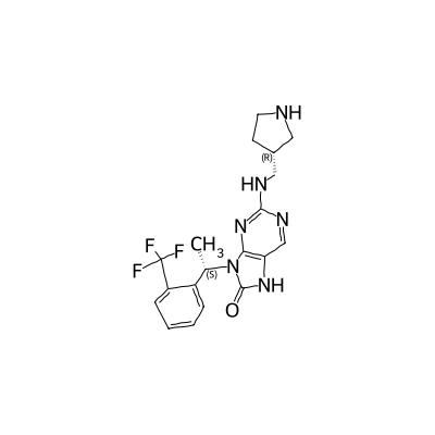 C[C@@H](c1ccccc1C(F)(F)F)n1c(=O)[nH]c2cnc(NC[C@@H]3CCNC3)nc21